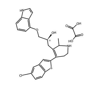 CC1NCCC(c2cc3cc(Cl)ccc3s2)=C1C[C@H](O)COc1cccc2[nH]ccc12.O=C(O)C(=O)O